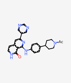 CC(=O)N1CCC(c2ccc(Nc3nc(-c4cncnc4)cc4cc[nH]c(=O)c34)cc2)CC1